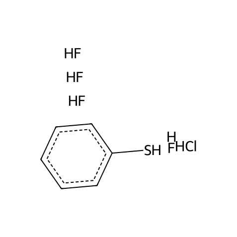 Cl.F.F.F.F.Sc1ccccc1